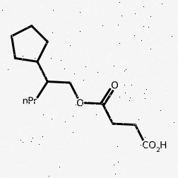 CCCC(COC(=O)CCC(=O)O)C1CCCC1